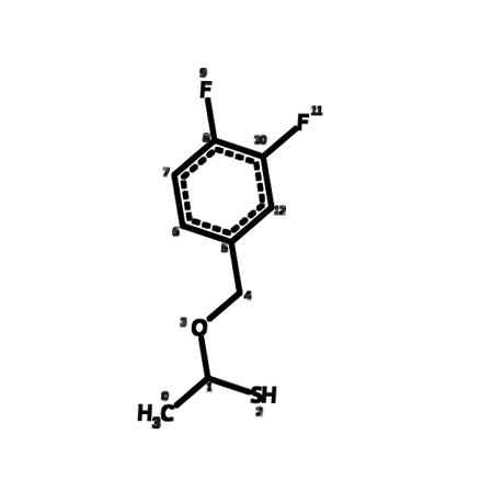 CC(S)OCc1ccc(F)c(F)c1